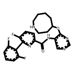 O=C(Nc1cncnc1OC1CCCCNCC1)c1ccc(F)c(-c2c(F)cccc2F)n1